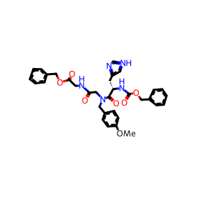 COc1ccc(CN(CC(=O)NCC(=O)OCc2ccccc2)C(=O)[C@H](Cc2c[nH]cn2)NC(=O)OCc2ccccc2)cc1